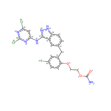 NC(=O)OCCOc1ccc(F)cc1Cc1ccc2[nH]nc(Nc3cc(Cl)nc(Cl)n3)c2c1